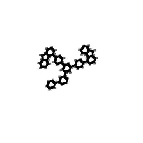 c1ccc(-c2cccc(-c3nc(-c4ccc(-c5cccc6sc7ccccc7c56)cc4)cc(-c4ccc(-c5cccc6sc7ccccc7c56)cc4)n3)c2)cc1